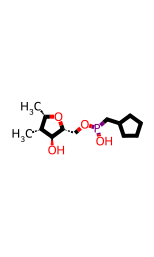 C[C@H]1[C@H](O)[C@@H](COP(O)CC2CCCC2)O[C@H]1C